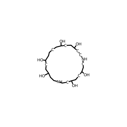 OC1CCCCC(O)CCC(O)CCNCCC(O)CCC(O)CCNCCC(O)CC1